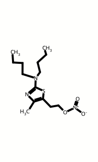 CCCCN(CCCC)c1nc(C)c(CCO[N+](=O)[O-])s1